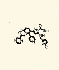 CC(C)(C)C(=O)n1nc(-c2ccc(=O)n(CC(=O)c3cnccn3)c2-c2ccncc2)cc1NCc1ccc(Cl)s1